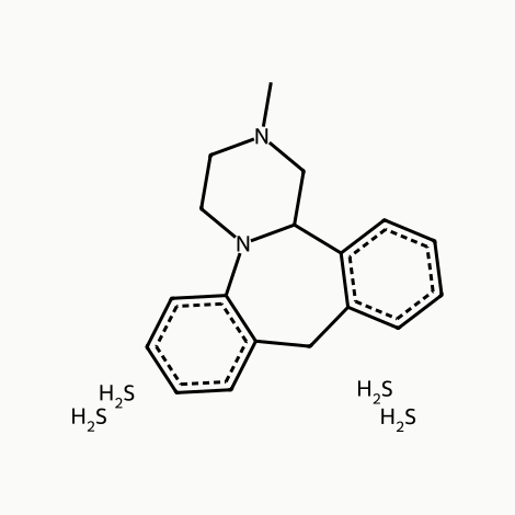 CN1CCN2c3ccccc3Cc3ccccc3C2C1.S.S.S.S